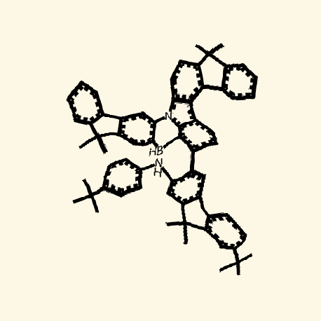 CC(C)(C)c1ccc(Nc2cc3c(cc2-c2ccc4c5c6c(ccc5n5c4c2Bc2cc4c(cc2-5)-c2ccccc2C4(C)C)C(C)(C)c2ccccc2-6)-c2ccc(C(C)(C)C)cc2C3(C)C)cc1